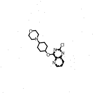 Clc1nc(OC2CCC(N3CCOCC3)CC2)c2ncccc2n1